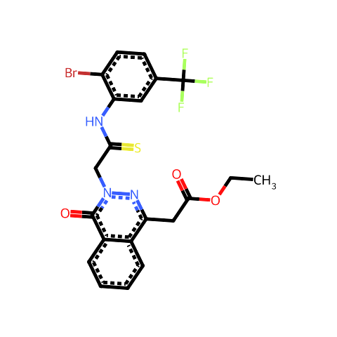 CCOC(=O)Cc1nn(CC(=S)Nc2cc(C(F)(F)F)ccc2Br)c(=O)c2ccccc12